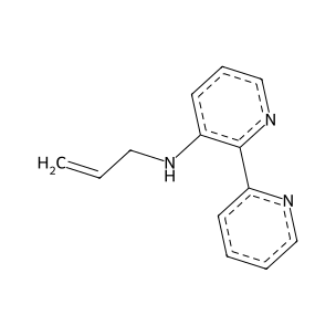 C=CCNc1cccnc1-c1ccccn1